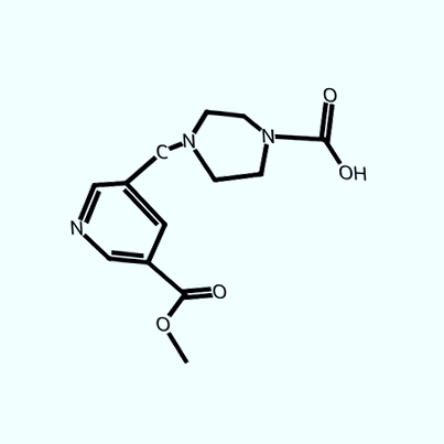 COC(=O)c1cncc(CN2CCN(C(=O)O)CC2)c1